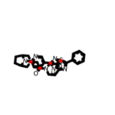 O=C(CN1CC2CCC(C1)N2c1ccc(-c2nnn[nH]2)cn1)N1CCc2nc(-c3ccccc3)sc2C1